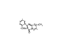 COc1ccccc1-c1cc(=O)n2ccc(C)cc2n1